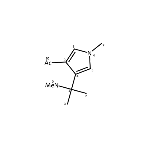 CNC(C)(C)c1cn(C)cc1C(C)=O